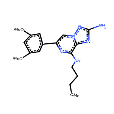 COCCCNc1nc(-c2cc(OC)cc(OC)c2)cn2nc(N)nc12